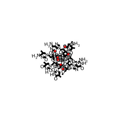 CC[C@H]1O[C@@H](n2cc(C)c(N)nc2=O)CC1OP(=O)(S)OC[C@H]1O[C@@H](n2cc(C)c(=O)[nH]c2=O)[C@@H](OCCOC)C1OP(=O)(O)OC[C@H]1O[C@@H](n2cnc3c(N)ncnc32)[C@@H](OCCOC)C1OP(=O)(O)OC[C@H]1O[C@@H](n2cnc3c(=O)[nH]c(N)nc32)[C@@H](OCCOC)C1OP(=O)(S)OC[C@H]1O[C@@H](n2cc(C)c(=O)[nH]c2=O)[C@@H](OCCOC)C1OP(=O)(S)OC[C@H]1O[C@@H](n2cc(C)c(N)nc2=O)[C@@H](OCCOC)C1O